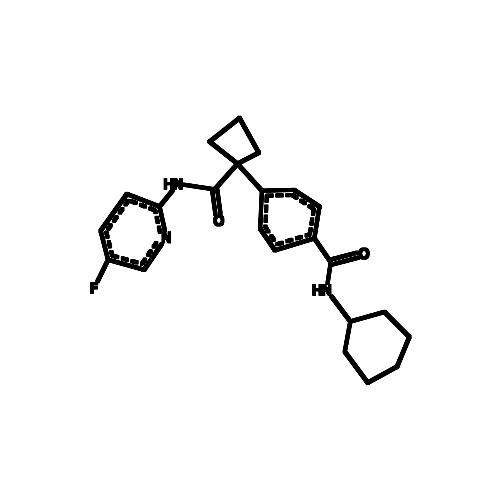 O=C(NC1CCCCC1)c1ccc(C2(C(=O)Nc3ccc(F)cn3)CCC2)cc1